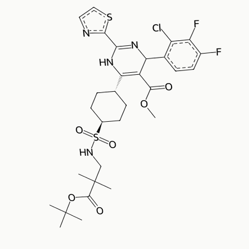 COC(=O)C1=C([C@H]2CC[C@H](S(=O)(=O)NCC(C)(C)C(=O)OC(C)(C)C)CC2)NC(c2nccs2)=NC1c1ccc(F)c(F)c1Cl